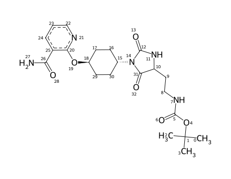 CC(C)(C)OC(=O)NCCC1NC(=O)N([C@H]2CC[C@H](Oc3ncccc3C(N)=O)CC2)C1=O